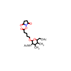 CC(=O)NC1C(OCCCCC(=O)ON2C(=O)CCC2=O)OC(COC(C)=O)C(C)C1C